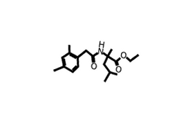 CCOC(=O)C(C)(CC(C)C)NC(=O)Cc1ccc(C)cc1C